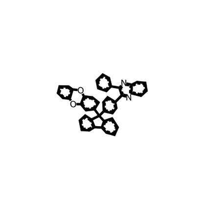 c1ccc(-c2nc3ccccc3nc2-c2ccc(C3(c4ccc5c(c4)Oc4ccccc4O5)c4ccccc4-c4ccccc43)cc2)cc1